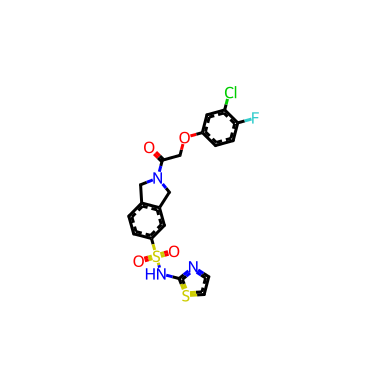 O=C(COc1ccc(F)c(Cl)c1)N1Cc2ccc(S(=O)(=O)Nc3nccs3)cc2C1